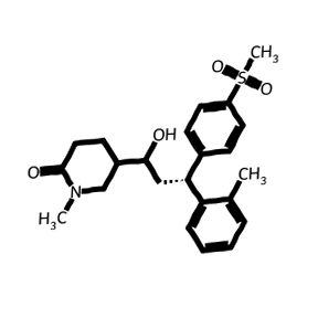 Cc1ccccc1[C@H](CC(O)C1CCC(=O)N(C)C1)c1ccc(S(C)(=O)=O)cc1